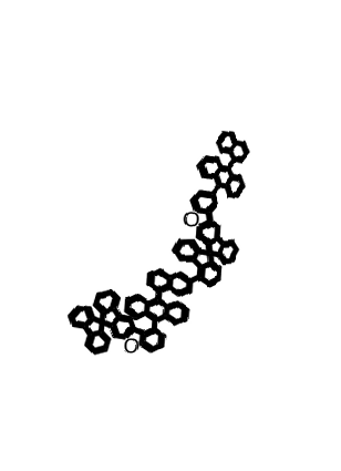 c1ccc2c(c1)-c1ccccc1C21c2ccccc2-c2cc3c(cc21)oc1cccc(-c2c4ccccc4c(-c4cccc5cc(-c6cccc7c6-c6ccccc6C76c7ccccc7-c7cc8c(cc76)oc6ccc(-c7c9ccccc9c(-c9cccc%10ccccc9%10)c9ccccc79)cc68)ccc45)c4ccccc24)c13